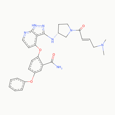 CN(C)CC=CC(=O)N1CC[C@@H](Nc2n[nH]c3nccc(Oc4ccc(Oc5ccccc5)cc4C(N)=O)c23)C1